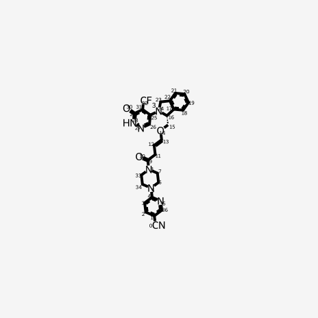 N#Cc1ccc(N2CCN(C(=O)CC=COC[C@H]3c4ccccc4CN3c3cn[nH]c(=O)c3C(F)(F)F)CC2)nc1